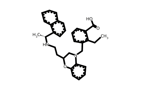 CCc1c(CN2CC(CCN[C@H](C)c3cccc4ccccc34)Oc3ccccc32)cccc1C(=O)O